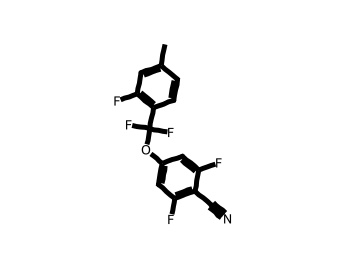 Cc1ccc(C(F)(F)Oc2cc(F)c(C#N)c(F)c2)c(F)c1